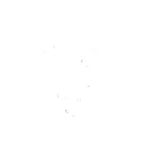 Cn1ccc(-c2ccc(C(F)(F)F)c(C(OC(C)(C)C)C(=O)ON)c2-c2ccc3c(c2)CCCO3)c1